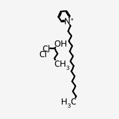 CCCC(O)Cl.CCCCCCCCCCCCCCCC[n+]1ccccc1.[Cl-]